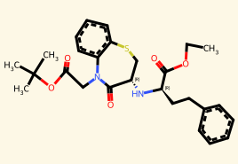 CCOC(=O)[C@@H](CCc1ccccc1)N[C@H]1CSc2ccccc2N(CC(=O)OC(C)(C)C)C1=O